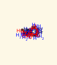 C=C(C)[C@@H](NC(=O)[C@@H](CCC(N)=O)NC(=O)[C@@H](CCC(=O)O)NC(=O)[C@H](C)NC(=O)C[C@H](O)CCCCCCC)C(=O)N[C@H](CC(C)C)C(=O)N[C@@H](CCC(N)=O)C(=O)N[C@@H]1COC(=O)[C@H]([C@@H](C)CC)NC(=O)[C@@H](CCC(N)=O)NC(=O)[C@H](CC(C)C)NC(=O)[C@H](CC(C)C)NC(=O)[C@@H](CCC(N)=O)NC(=O)C(CC(C)C)NC(=O)[C@@H](C(C)C)NC1=O